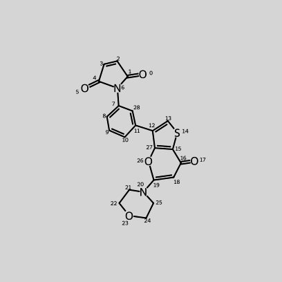 O=C1C=CC(=O)N1c1cccc(-c2csc3c(=O)cc(N4CCOCC4)oc23)c1